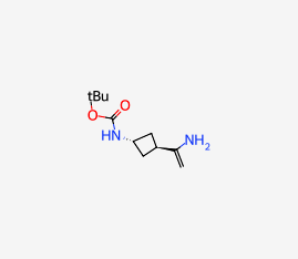 C=C(N)[C@H]1C[C@H](NC(=O)OC(C)(C)C)C1